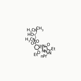 CCCc1nc(CC)c2c(=O)[nH]c(-c3cc(S(=O)(=O)N(C)CC(O)CN(C)C)ccc3OCC)nn12